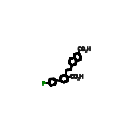 O=C(O)c1ccc2cc(C=Cc3cc(-c4ccc(F)cc4)ccc3C(=O)O)ccc2c1